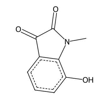 CN1C(=O)C(=O)c2cccc(O)c21